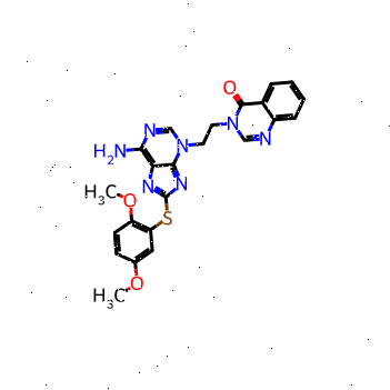 COc1ccc(OC)c(Sc2nc3c(N)ncn(CCn4cnc5ccccc5c4=O)c-3n2)c1